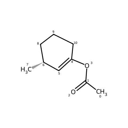 CC(=O)OC1=C[C@H](C)CCC1